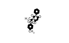 Cc1ccc(S(=O)(=O)C(C)N2C(=O)CC(=O)N(c3ccccc3)C2=O)cc1